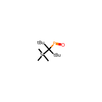 CC(C)(C)C(P=O)(C(C)(C)C)[Si](C)(C)C